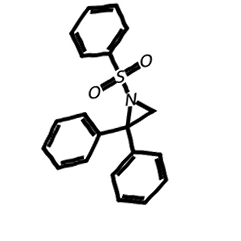 O=S(=O)(c1ccccc1)N1CC1(c1ccccc1)c1ccccc1